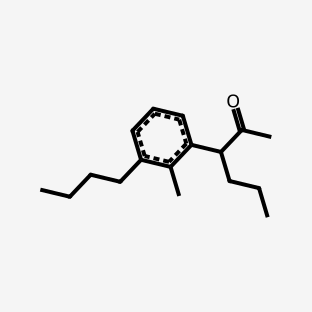 CCCCc1cccc(C(CCC)C(C)=O)c1C